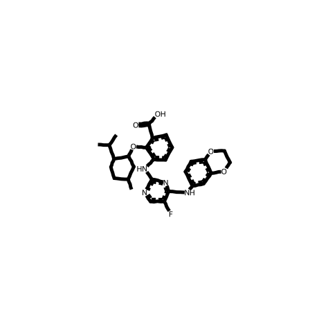 CC1CCC(C(C)C)C(Oc2c(Nc3ncc(F)c(Nc4ccc5c(c4)OCCO5)n3)cccc2C(=O)O)C1